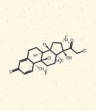 C[C@H]1C[C@H]2[C@@H]3CCC4=CC(=O)C=C[C@]4(C)[C@@]3(Cl)[C@@H](F)C[C@]2(C)[C@@]1(O)C(=O)CCl